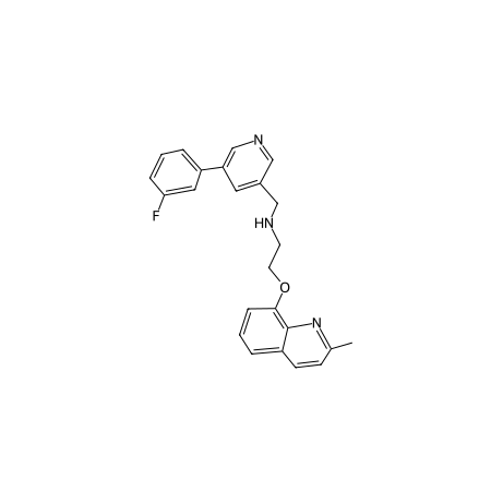 Cc1ccc2cccc(OCCNCc3cncc(-c4cccc(F)c4)c3)c2n1